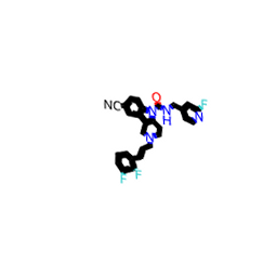 N#Cc1ccc2c(c1)c1c(n2C(=O)NCc2ccnc(F)c2)CCN(CC=Cc2cccc(F)c2F)C1